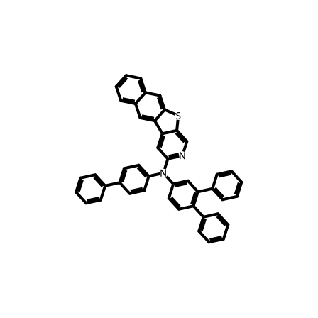 c1ccc(-c2ccc(N(c3ccc(-c4ccccc4)c(-c4ccccc4)c3)c3cc4c(cn3)sc3cc5ccccc5cc34)cc2)cc1